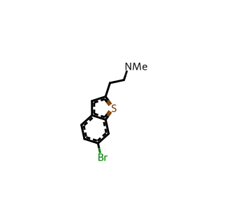 CNCCc1cc2ccc(Br)cc2s1